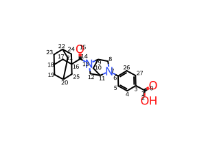 O=C(O)c1ccc(N2CC3CC2CN3C(=O)C23CC4CC(CC(C4)C2)C3)cc1